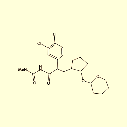 CNC(=O)NC(=O)C(CC1CCCC1OC1CCCCO1)c1ccc(Cl)c(Cl)c1